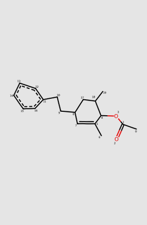 CC(=O)OC1C(C)=CC(CCc2ccccc2)CC1C